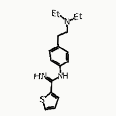 CCN(CC)CCc1ccc(NC(=N)c2cccs2)cc1